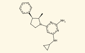 C[C@@H]1[C@H](c2ccccc2)CCN1c1cc(NC2CC2)nc(N)n1